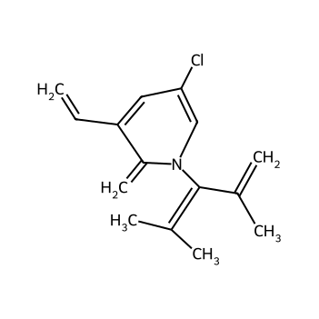 C=CC1=CC(Cl)=CN(C(C(=C)C)=C(C)C)C1=C